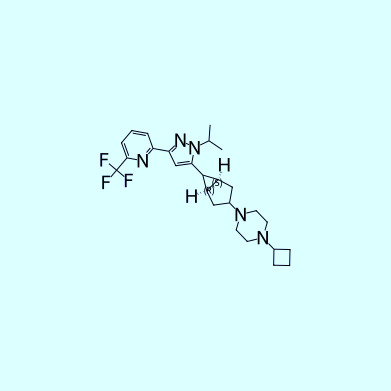 CC(C)n1nc(-c2cccc(C(F)(F)F)n2)cc1C1[C@H]2CC(N3CCN(C4CCC4)CC3)C[C@@H]12